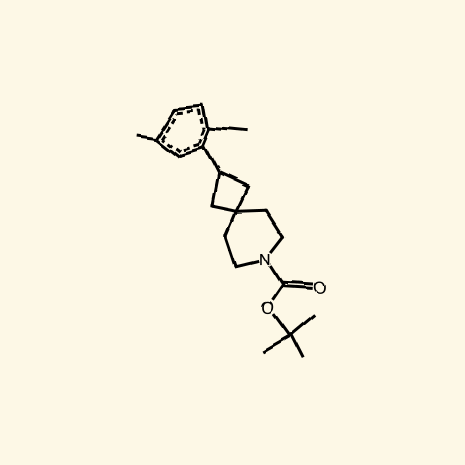 Cc1ccc(C)c(C2CC3(CCN(C(=O)OC(C)(C)C)CC3)C2)c1